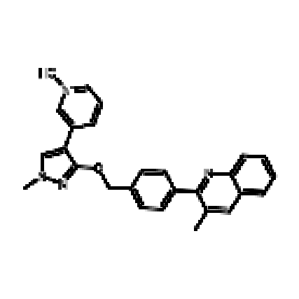 Cc1cc2ccccc2nc1-c1ccc(COc2nn(C)cc2-c2ccc[n+](O)c2)cc1